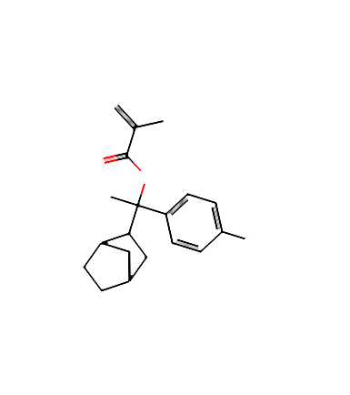 C=C(C)C(=O)OC(C)(c1ccc(C(F)(F)F)cc1)C1CC2CCC1C2